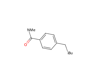 CCC(C)Cc1ccc(C(=O)NC)cc1